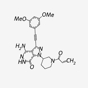 C=CC(=O)N1CCCC(n2nc(C#Cc3cc(OC)cc(OC)c3)c3c(N)n[nH]c(=O)c32)C1